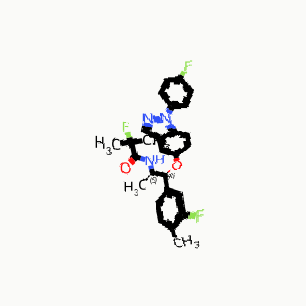 Cc1ccc([C@@H](Oc2ccc3c(cnn3-c3ccc(F)cc3)c2)[C@H](C)NC(=O)C(C)(C)F)cc1F